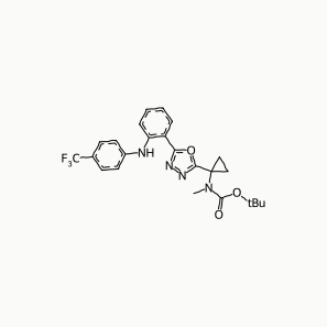 CN(C(=O)OC(C)(C)C)C1(c2nnc(-c3ccccc3Nc3ccc(C(F)(F)F)cc3)o2)CC1